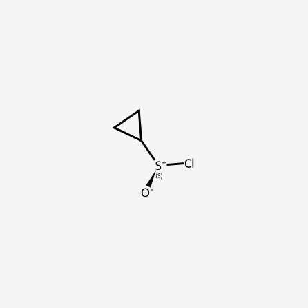 [O-][S@+](Cl)C1CC1